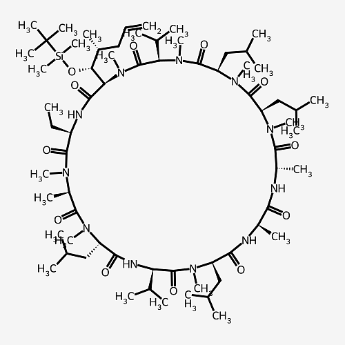 C=CC[C@@H](C)[C@@H](O[Si](C)(C)C(C)(C)C)[C@@H]1C(=O)N[C@H](CC)C(=O)N(C)[C@H](C)C(=O)N(C)[C@@H](CC(C)C)C(=O)N[C@H](C(C)C)C(=O)N(C)[C@H](CC(C)C)C(=O)N[C@H](C)C(=O)N[C@@H](C)C(=O)N(C)[C@H](CC(C)C)C(=O)N(C)[C@H](CC(C)C)C(=O)N(C)[C@H](C(C)C)C(=O)N1C